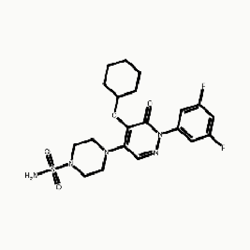 NS(=O)(=O)N1CCN(c2cnn(-c3cc(F)cc(F)c3)c(=O)c2OC2CCCCC2)CC1